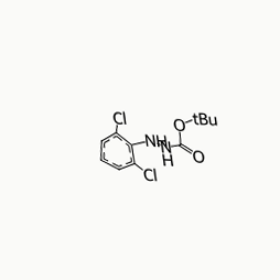 CC(C)(C)OC(=O)NNc1c(Cl)cccc1Cl